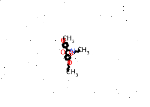 CCCCOc1ccc(C(=O)C(C#N)c2ccc(OC)cc2)c(OCCCC)c1